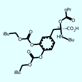 CCCC(=O)O[C@](Cc1ccc(OC(=O)OCC(C)CC)c(OC(=O)OCC(C)CC)c1)(NC(C)CC)C(=O)O